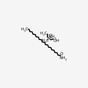 CCCCCCCCCCCCCCCCCCCCCC(N)=O.CCC[N+](C)(C)CCO.[Cl-]